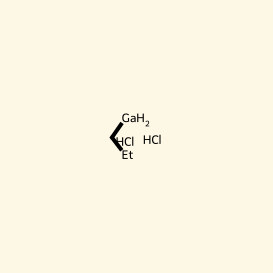 CC[CH2][GaH2].Cl.Cl